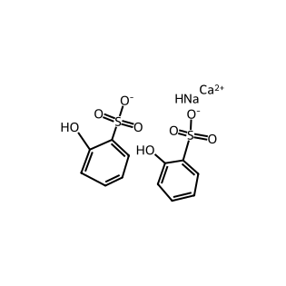 O=S(=O)([O-])c1ccccc1O.O=S(=O)([O-])c1ccccc1O.[Ca+2].[NaH]